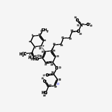 C=C(C)C1CCC(C)=C[C@@H]1c1c(O)cc(OC(=O)/C=C\C(=O)O)cc1CCCCCO[N+](=O)[O-]